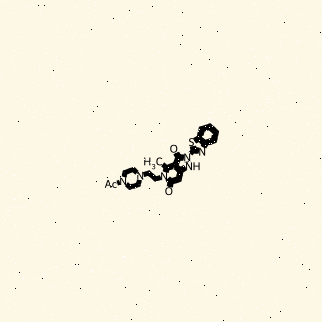 CC(=O)N1CCN(CCn2c(C)c3c(=O)n(-c4nc5ccccc5s4)[nH]c3cc2=O)CC1